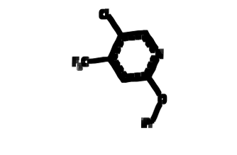 CC(C)Oc1cc(C(F)(F)F)c(Cl)cn1